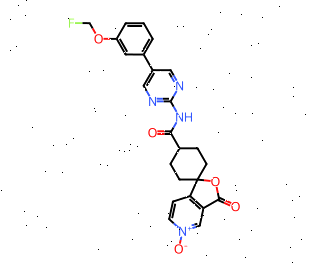 O=C1OC2(CCC(C(=O)Nc3ncc(-c4cccc(OCF)c4)cn3)CC2)c2cc[n+]([O-])cc21